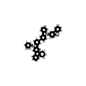 c1ccc(-n2c3ccc(-c4ccc5c(c4)c4ccccc4n5-c4ccc5oc6ccccc6c5c4)cc3c3cc4c(cc32)-c2ccccc2C42CCCCC2)cc1